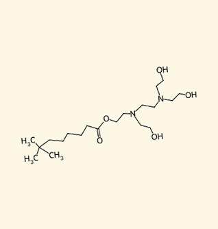 CC(C)(C)CCCCCC(=O)OCCN(CCO)CCN(CCO)CCO